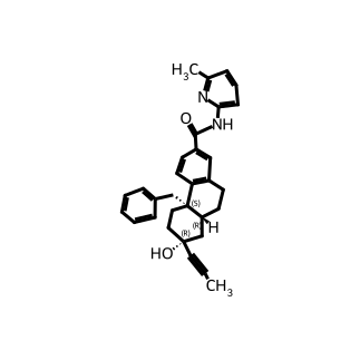 CC#C[C@@]1(O)CC[C@@]2(Cc3ccccc3)c3ccc(C(=O)Nc4cccc(C)n4)cc3CC[C@@H]2C1